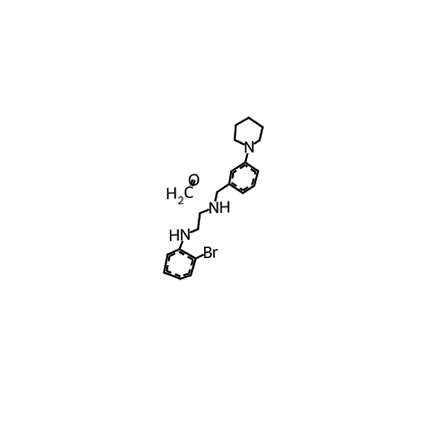 Brc1ccccc1NCCNCc1cccc(N2CCCCC2)c1.C=O